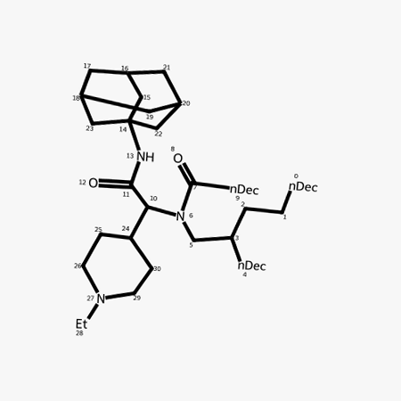 CCCCCCCCCCCCC(CCCCCCCCCC)CN(C(=O)CCCCCCCCCC)C(C(=O)NC12CC3CC(CC(C3)C1)C2)C1CCN(CC)CC1